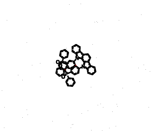 O=P(c1ccccc1)(c1ccccc1)c1ccc(-n2c3ccccc3c3ccc4c5ccccc5n(-c5cccc(P(=O)(c6ccccc6)c6ccccc6)c5)c4c32)cc1